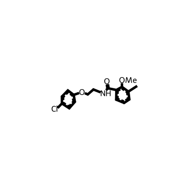 COc1c(C)cccc1C(=O)NCCOc1ccc(Cl)cc1